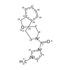 C[n+]1ccn(C(=O)N2CCC3(CC2)OCc2ccccc23)c1